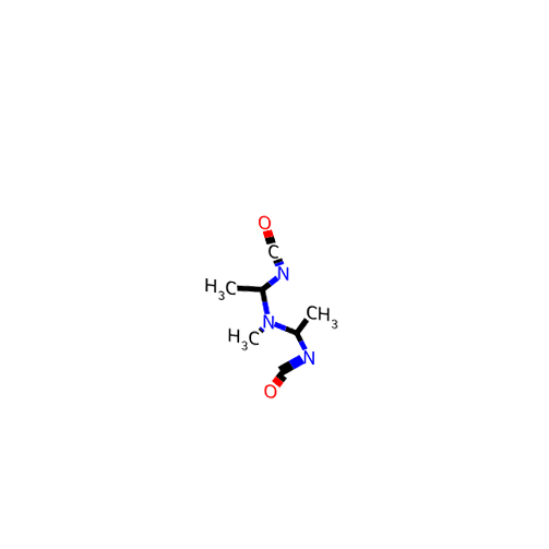 CC(N=C=O)N(C)C(C)N=C=O